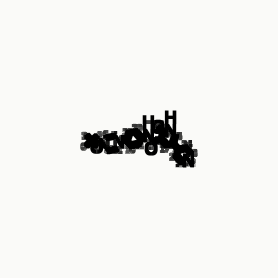 CC(C)(C)ON1CCN(c2ccc(NC(=O)c3cc(-c4ccncc4)c[nH]c3=O)cc2)CC1